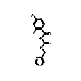 O=C(NCc1cscn1)NC(=O)c1ccc(C(F)(F)F)cc1F